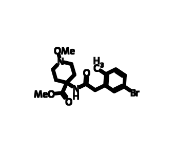 COC(=O)C1(NC(=O)Cc2cc(Br)ccc2C)CCN(OC)CC1